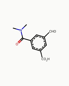 CN(C)C(=O)c1cc(C=O)cc(C(=O)O)c1